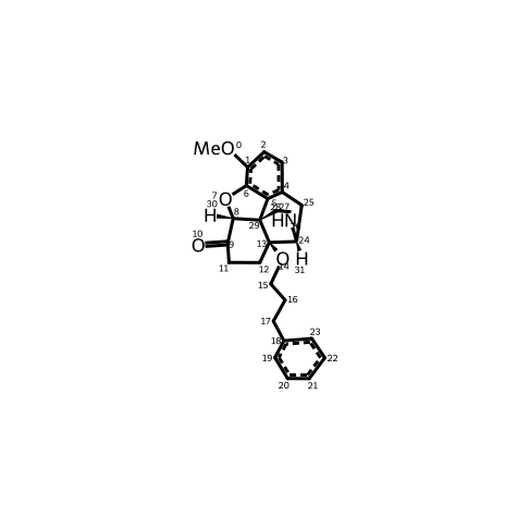 COc1ccc2c3c1O[C@H]1C(=O)CC[C@@]4(OCCCc5ccccc5)[C@@H](C2)NCC[C@]314